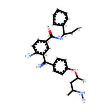 CCNC(C)CC(CC)Oc1ccc(C(=N)c2cc(C(=O)NC(CC(C)C)c3ccccc3)ccc2N)cc1